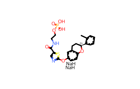 Cc1ccccc1[C@@H]1CCc2cc(Oc3ncc(C(=O)NCCOP(=O)(O)O)s3)ccc2O1.[NaH].[NaH]